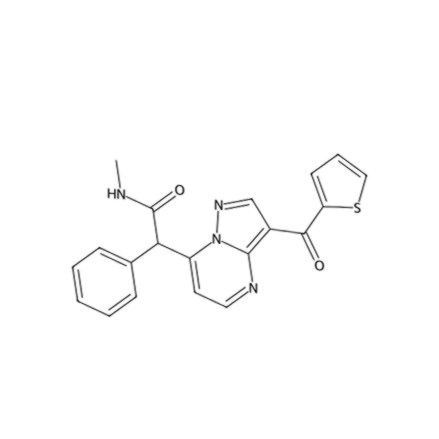 CNC(=O)C(c1ccccc1)c1ccnc2c(C(=O)c3cccs3)cnn12